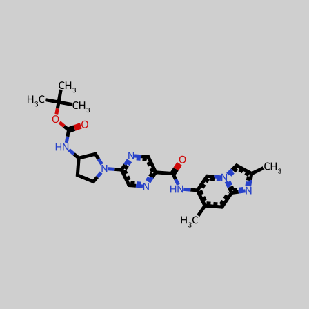 Cc1cn2cc(NC(=O)c3cnc(N4CCC(NC(=O)OC(C)(C)C)C4)cn3)c(C)cc2n1